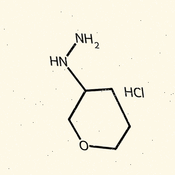 Cl.NNC1CCCOC1